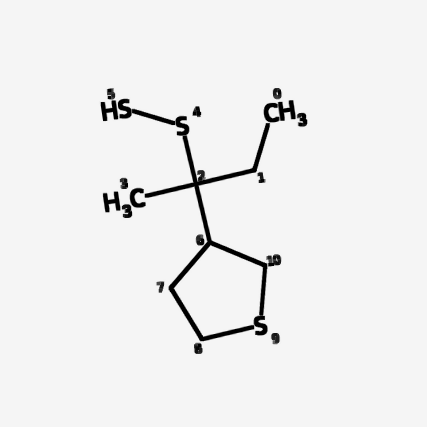 CCC(C)(SS)C1CCSC1